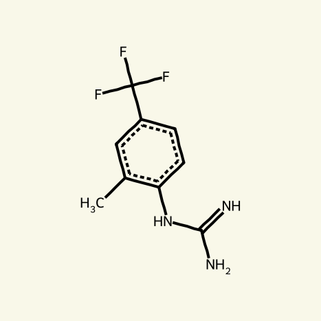 Cc1cc(C(F)(F)F)ccc1NC(=N)N